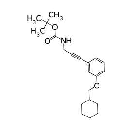 CC(C)(C)OC(=O)NCC#Cc1cccc(OCC2CCCCC2)c1